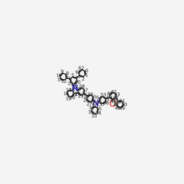 c1ccc(-c2cc(-c3ccccc3)cc(-n3c4ccccc4c4cc(-c5ccc(N(c6ccccc6)c6ccc(-c7cccc8c7oc7ccccc78)cc6)cc5)ccc43)c2)cc1